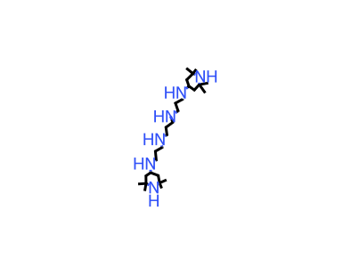 CC1(C)CC(NCCCNCCCNCCCNC2CC(C)(C)NC(C)(C)C2)CC(C)(C)N1